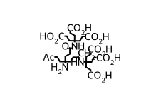 C=C(CCC(N)(CCC(C)=O)CCC(=O)NC(CCC(=O)O)(CCC(=O)O)CCC(=O)O)NC(CCC(=O)O)(CCC(=O)O)CCC(=O)O